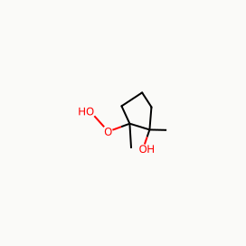 CC1(O)CCCC1(C)OO